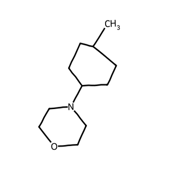 CC1CCC(N2CCOCC2)CC1